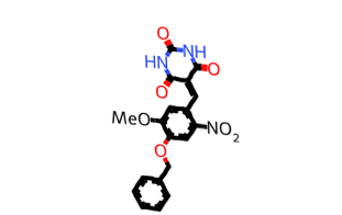 COc1cc(C=C2C(=O)NC(=O)NC2=O)c([N+](=O)[O-])cc1OCc1ccccc1